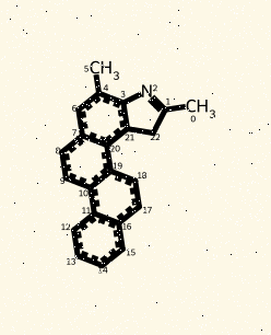 CC1=Nc2c(C)cc3ccc4c5ccccc5ccc4c3c2C1